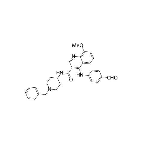 COc1cccc2c(Nc3ccc(C=O)cc3)c(C(=O)NC3CCN(Cc4ccccc4)CC3)cnc12